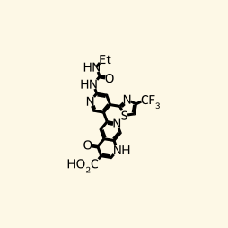 CCNC(=O)Nc1cc(-c2nc(C(F)(F)F)cs2)c(-c2cc3c(=O)c(C(=O)O)c[nH]c3cn2)cn1